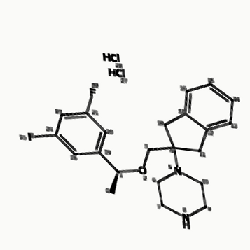 C[C@H](OCC1(N2CCNCC2)Cc2ccccc2C1)c1cc(F)cc(F)c1.Cl.Cl